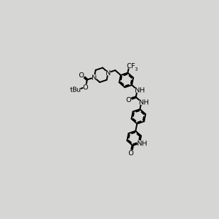 CC(C)(C)OC(=O)N1CCN(Cc2ccc(NC(=O)Nc3ccc(-c4ccc(=O)[nH]c4)cc3)cc2C(F)(F)F)CC1